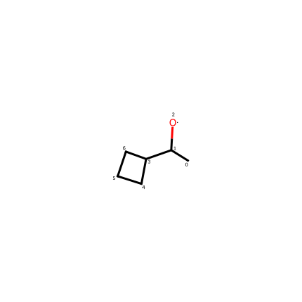 CC([O])C1CCC1